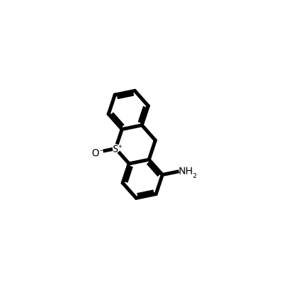 Nc1cccc2c1Cc1ccccc1[S+]2[O-]